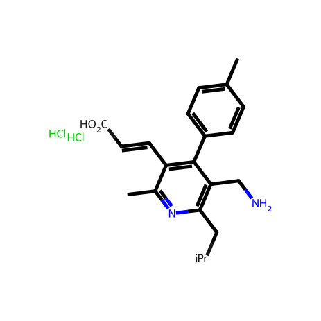 Cc1ccc(-c2c(C=CC(=O)O)c(C)nc(CC(C)C)c2CN)cc1.Cl.Cl